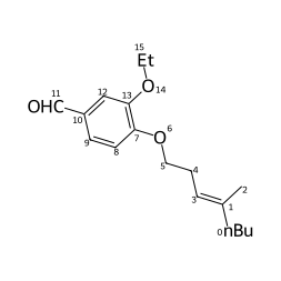 CCCCC(C)=CCCOc1ccc(C=O)cc1OCC